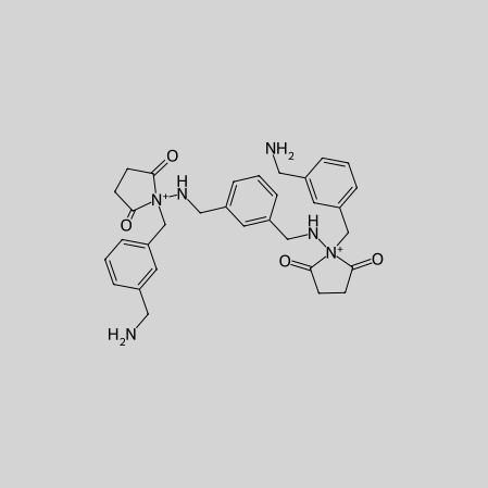 NCc1cccc(C[N+]2(NCc3cccc(CN[N+]4(Cc5cccc(CN)c5)C(=O)CCC4=O)c3)C(=O)CCC2=O)c1